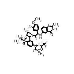 COC(=O)N(OC(=O)C(F)(F)F)c1ccc(S(=O)(=O)C(C)C)c(C2CCCN2C(=O)[C@H](Nc2ccc3nc(C)[nH]c(=O)c3c2)c2ccc(OC)c(OC)c2)c1